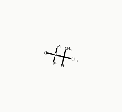 CCC(C)(C)[Si](Cl)(C(C)C)C(C)C